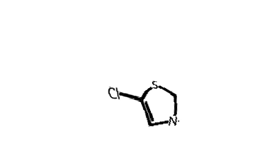 ClC1=C[N]CS1